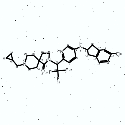 O=C1N(C(c2ccc(NC3Cc4ccc(Cl)cc4C3)cn2)C(F)(F)F)CCC12CCN(CC1CC1)CC2